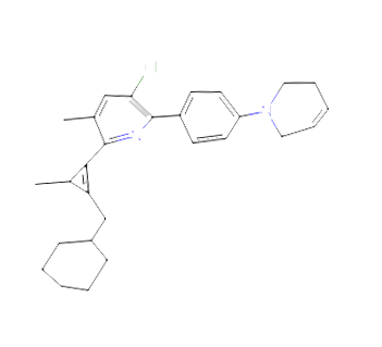 Cc1cc(Cl)c(-c2ccc(N3CC=CCC3)cc2)nc1C1=C(CC2CCCCC2)C1C